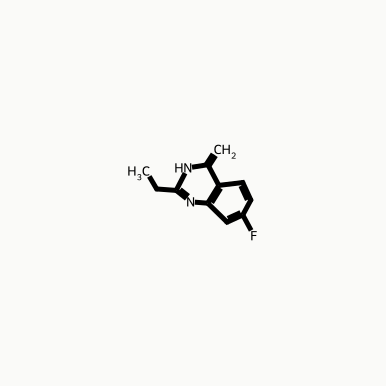 C=C1NC(CC)=Nc2cc(F)ccc21